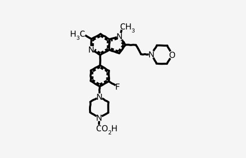 Cc1cc2c(cc(CCN3CCOCC3)n2C)c(-c2ccc(N3CCN(C(=O)O)CC3)c(F)c2)n1